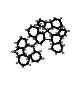 c1ccc(N(c2cc3c(c4ccccc24)C2(c4ccccc4-c4ccccc42)c2c-3c3ccccc3c3ccccc23)c2cccc3oc4ccccc4c23)cc1